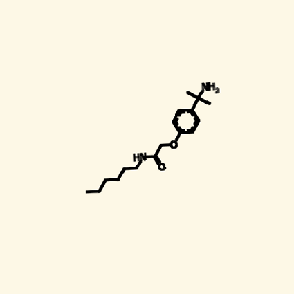 CCCCCCNC(=O)COc1ccc(C(C)(C)N)cc1